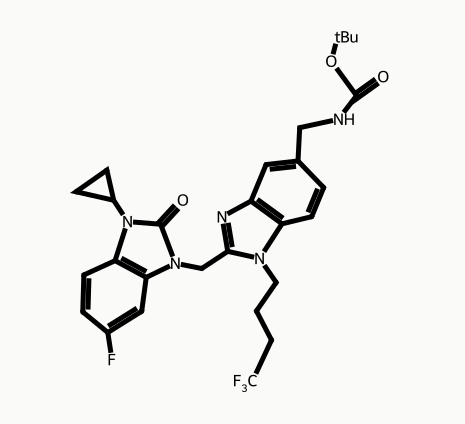 CC(C)(C)OC(=O)NCc1ccc2c(c1)nc(Cn1c(=O)n(C3CC3)c3ccc(F)cc31)n2CCCC(F)(F)F